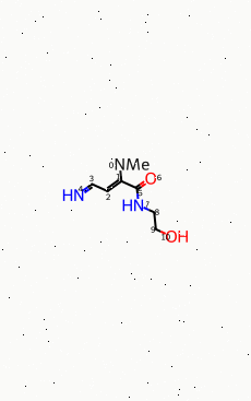 CN/C(=C\C=N)C(=O)NCCO